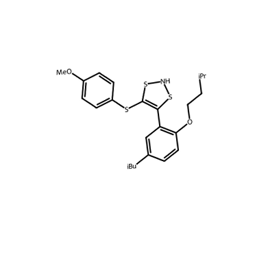 CCC(C)c1ccc(OCCC(C)C)c(C2=C(Sc3ccc(OC)cc3)SNS2)c1